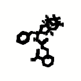 CC1(C)[C@@H]2C[C@H]3OB([C@H](Cc4ccccc4)NC(=O)OC[C@H]4CCCCN4C(=O)O)O[C@@]3(C)[C@H]1C2